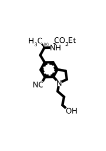 CCOC(=O)N[C@H](C)Cc1cc(C#N)c2c(c1)CCN2CCCO